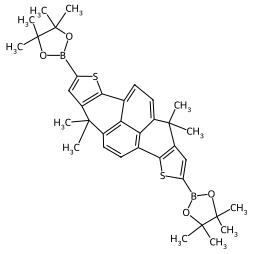 CC1(C)c2cc(B3OC(C)(C)C(C)(C)O3)sc2-c2ccc3c4c(ccc1c24)-c1sc(B2OC(C)(C)C(C)(C)O2)cc1C3(C)C